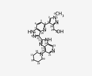 Cn1cc(-c2ccc3[nH]nc(-c4nc5c(N6CCCCC6)cncc5[nH]4)c3n2)c(CO)n1